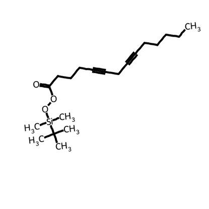 CCCCCC#CCC#CCCCC(=O)OO[Si](C)(C)C(C)(C)C